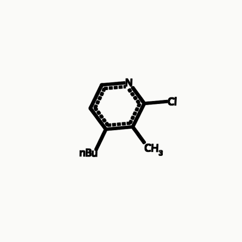 CCCCc1ccnc(Cl)c1C